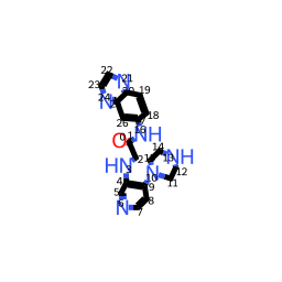 O=C(CNc1cnccc1N1CCNCC1)Nc1ccc2nccnc2c1